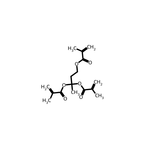 C=C(C)C(=O)OCCC(C)(OC(=O)C(=C)C)OC(=O)C(=C)C